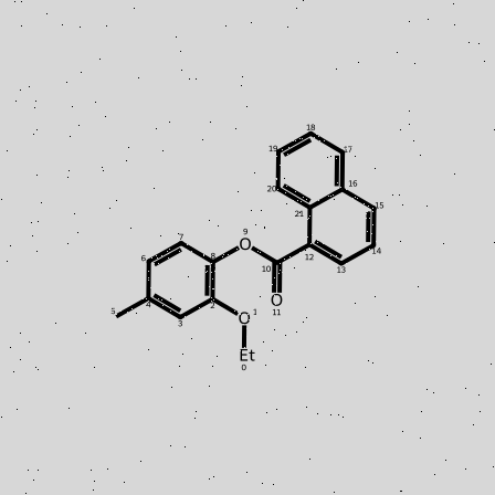 CCOc1cc(C)ccc1OC(=O)c1cccc2ccccc12